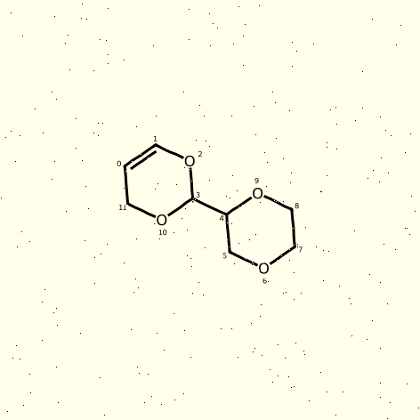 C1=CO[C](C2COCCO2)OC1